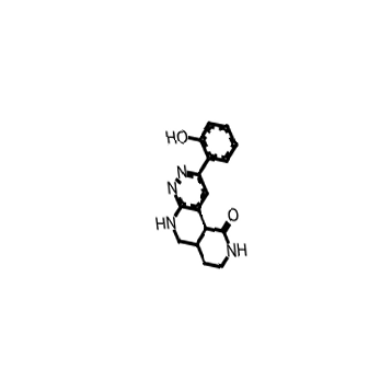 O=C1NCCC2CNc3nnc(-c4ccccc4O)cc3C12